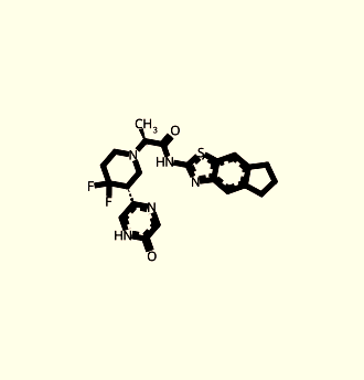 C[C@@H](C(=O)Nc1nc2cc3c(cc2s1)CCC3)N1CCC(F)(F)[C@@H](c2c[nH]c(=O)cn2)C1